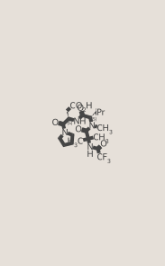 CC(C)[C@@H](C(=O)N[C@@H](CC(=O)O)C(=O)N1CCCC1)N(C)C(=O)C(C)(C)NC(=O)C(F)(F)F